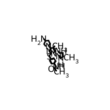 CC(=O)Nc1ccc(Sc2nc(Nc3cc(C)[nH]n3)c(C)c(N3CCC(N)CC3)n2)cc1